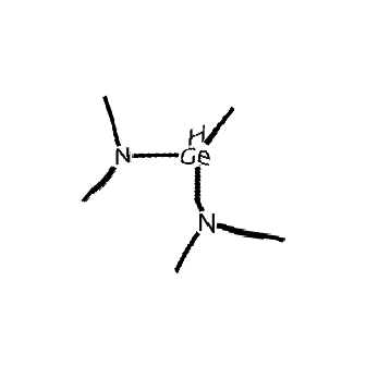 C[N](C)[GeH]([CH3])[N](C)C